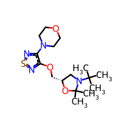 CC(C)(C)N1C[C@@H](COc2nsnc2N2CCOCC2)OC1(C)C